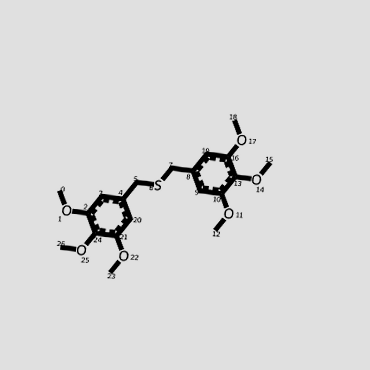 COc1cc(CSCc2cc(OC)c(OC)c(OC)c2)cc(OC)c1OC